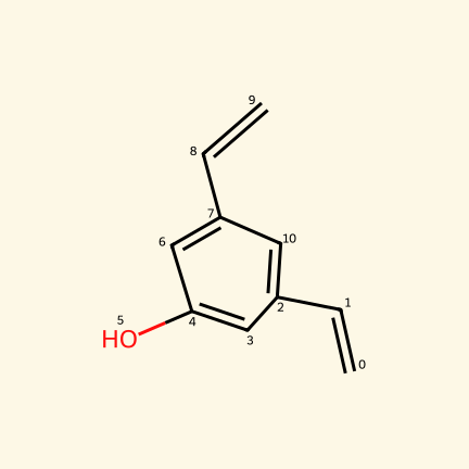 C=Cc1cc(O)cc(C=C)c1